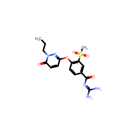 CCCn1nc(Oc2ccc(C(=O)N=C(N)N)cc2S(C)(=O)=O)ccc1=O